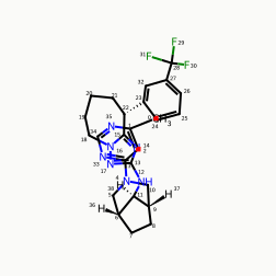 Cc1cc(N2C[C@H]3CC[C@@H](C2)[C@@H]3Nc2nc3n(n2)CCCC[C@@H]3c2cccc(C(F)(F)F)c2)ncn1